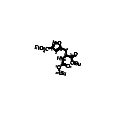 CCOC(=O)c1cc(C[C@H](NC(=O)OC(C)(C)C)C(=O)OCC(C)C)on1